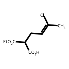 CCOC(=O)C(CC=C(C)Cl)C(=O)O